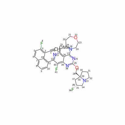 C#Cc1c(F)ccc2cccc(-c3nc(OC)c4c(N5CCCOCC5)nc(OC[C@@]56CCCN5C[C@H](F)C6)nc4c3F)c12